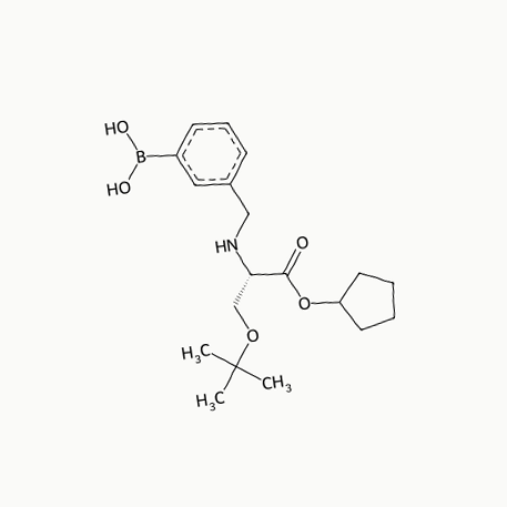 CC(C)(C)OC[C@H](NCc1cccc(B(O)O)c1)C(=O)OC1CCCC1